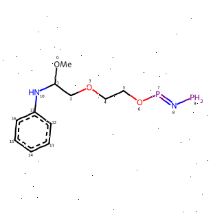 COC(COCCOP=NP)Nc1ccccc1